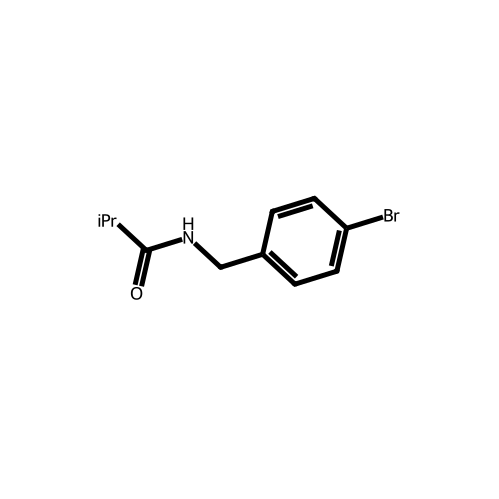 CC(C)C(=O)NCc1ccc(Br)cc1